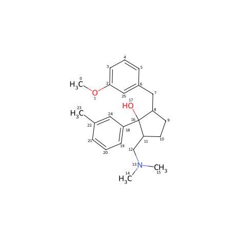 COc1cccc(CC2CCC(CN(C)C)C2(O)c2cccc(C)c2)c1